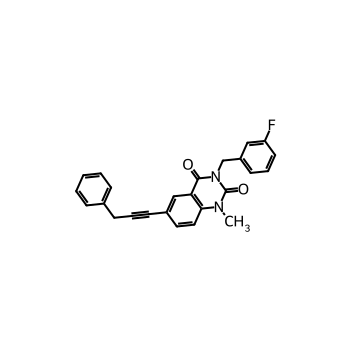 Cn1c(=O)n(Cc2cccc(F)c2)c(=O)c2cc(C#CCc3ccccc3)ccc21